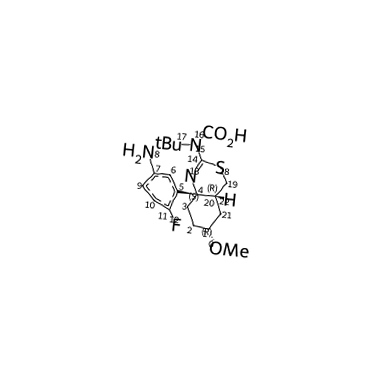 CO[C@@H]1CC[C@]2(c3cc(N)ccc3F)N=C(N(C(=O)O)C(C)(C)C)SC[C@@H]2C1